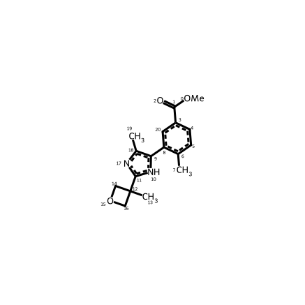 COC(=O)c1ccc(C)c(-c2[nH]c(C3(C)COC3)nc2C)c1